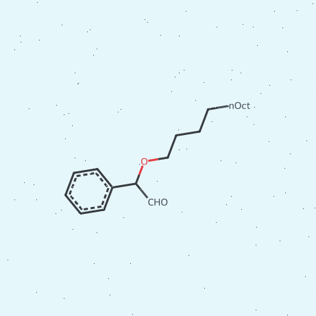 CCCCCCCCCCCCOC(C=O)c1ccccc1